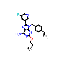 C=Cc1ccc(Cn2c(-c3cncc(F)c3)nc3c(N)nc(OCCC)nc32)cc1